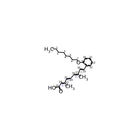 CCCCCCCCOc1ccccc1/C=C/C(C)=C/C=C/C(C)=C/C(=O)O